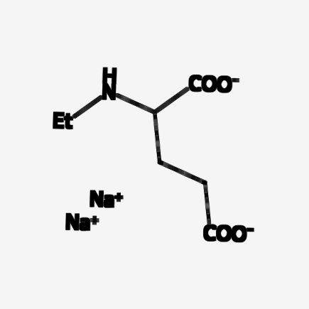 CCNC(CCC(=O)[O-])C(=O)[O-].[Na+].[Na+]